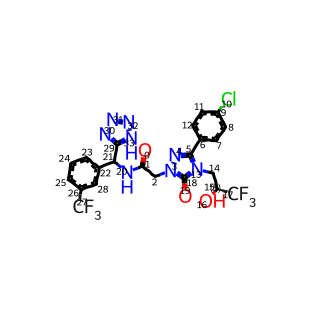 O=C(Cn1nc(-c2ccc(Cl)cc2)n(C[C@H](O)C(F)(F)F)c1=O)NC(c1cccc(C(F)(F)F)c1)c1nnn[nH]1